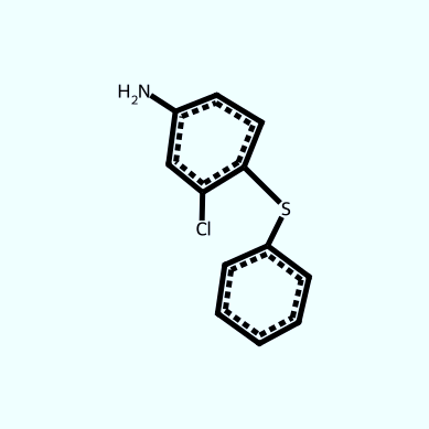 Nc1ccc(Sc2ccccc2)c(Cl)c1